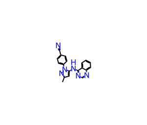 Cc1cc(Nc2ncnc3ccccc23)n(-c2ccc(C#N)cc2)n1